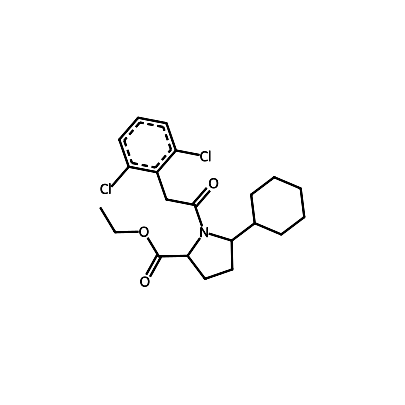 CCOC(=O)C1CCC(C2CCCCC2)N1C(=O)Cc1c(Cl)cccc1Cl